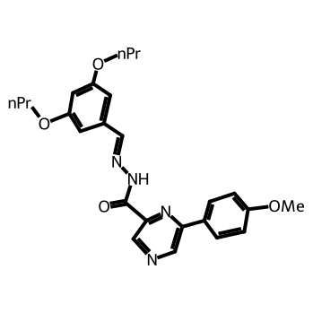 CCCOc1cc(C=NNC(=O)c2cncc(-c3ccc(OC)cc3)n2)cc(OCCC)c1